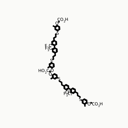 Cc1cc(SCCCc2ccc(-c3ccc(CCCSc4ccc(OC(Oc5ccc(SCCCc6ccc(-c7ccc(CCCSc8ccc(OCC(=O)O)c(C)c8)cc7C(F)(F)F)c(C(F)(F)F)c6)cc5C)C(=O)O)c(C)c4)cc3C(F)(F)F)c(C(F)(F)F)c2)ccc1OCC(=O)O